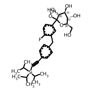 COC1(c2ccc(F)c(Cc3ccc(C#C[Si](C(C)C)(C(C)C)C(C)C)cc3)c2)O[C@H](CO)[C@@H](O)[C@H](O)[C@H]1O